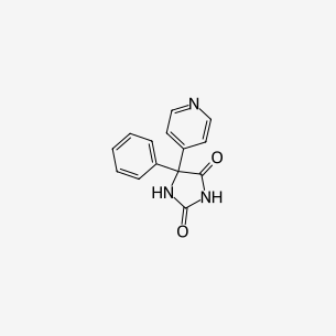 O=C1NC(=O)C(c2ccccc2)(c2ccncc2)N1